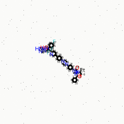 CC[C@@H]([C@H](C)OCc1ccccc1)n1ncn(-c2ccc(N3CCN(c4ccc(-c5ccc(C(F)(F)C(O)(CN6C=NNN6)c6ccc(F)cc6)nc5)cc4)CC3)cc2)c1=O